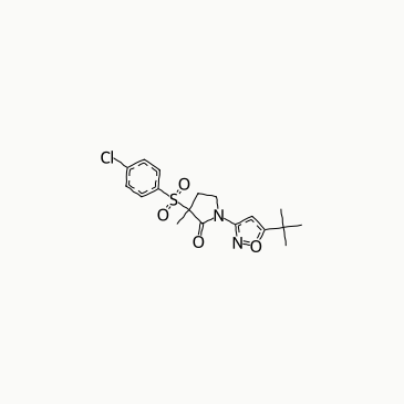 CC(C)(C)c1cc(N2CCC(C)(S(=O)(=O)c3ccc(Cl)cc3)C2=O)no1